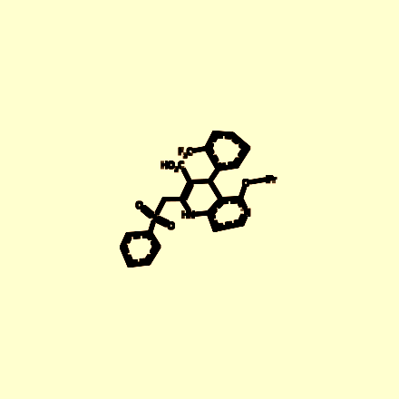 CC(C)Oc1nccc2c1C(c1ccccc1C(F)(F)F)C(C(=O)O)=C(CS(=O)(=O)c1ccccc1)N2